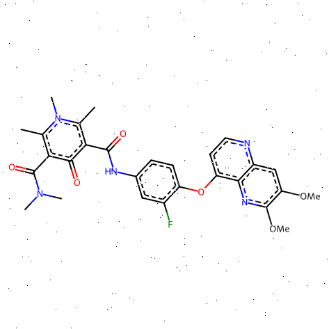 COc1cc2nccc(Oc3ccc(NC(=O)c4c(C)n(C)c(C)c(C(=O)N(C)C)c4=O)cc3F)c2nc1OC